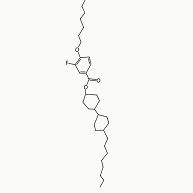 CCCCCCCCC1CCC(C2CCC(OC(=O)c3ccc(OCCCCCCC)c(F)c3)CC2)CC1